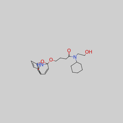 O=C(CCCOC12C=Cc3cc(ccc3N1)O2)N(CCO)C1CCCCC1